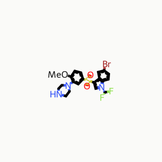 COc1ccc(S(=O)(=O)c2cn(C(F)F)c3ccc(Br)cc23)cc1N1CCNCC1